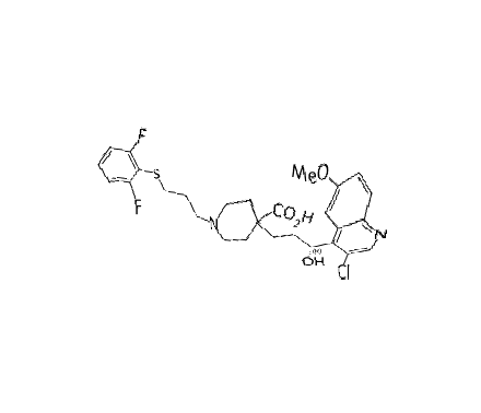 COc1ccc2ncc(Cl)c([C@H](O)CCC3(C(=O)O)CCN(CCCSc4c(F)cccc4F)CC3)c2c1